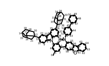 Cc1cc2c3c(c1)-n1c4ccc(C56CC7CC(CC(C7)C5)C6)cc4c4cc(C56CC7CC(CC(C7)C5)C6)cc(c41)B3N(c1ccc(-c3ccccc3)cc1)c1cc3c(cc1-2)oc1ccccc13